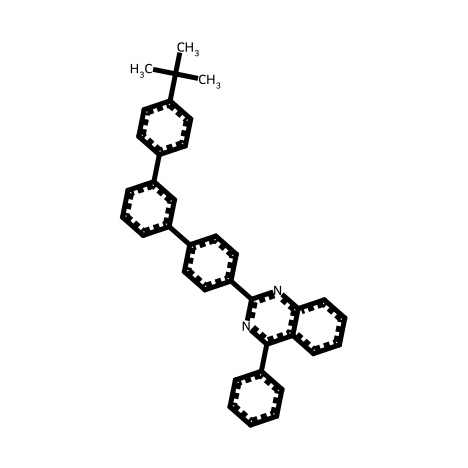 CC(C)(C)c1ccc(-c2cccc(-c3ccc(-c4nc(-c5ccccc5)c5ccccc5n4)cc3)c2)cc1